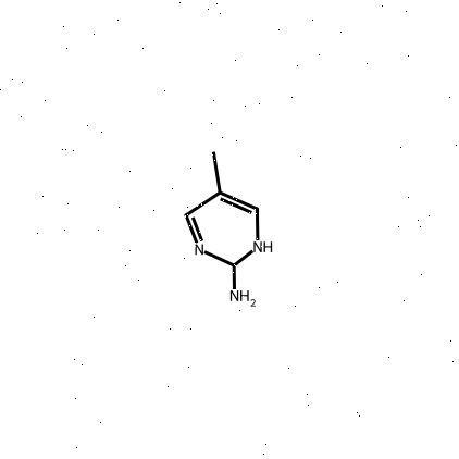 CC1=CNC(N)N=C1